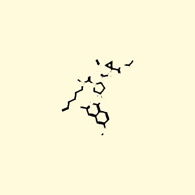 C=CCCCCN(C)C(=O)N1C[C@H](Oc2nc(Cl)cc3cc(OC)ccc23)C[C@H]1C(=O)N[C@]1(C(=O)OCC)C[C@H]1C=C